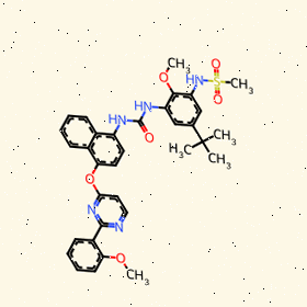 COc1ccccc1-c1nccc(Oc2ccc(NC(=O)Nc3cc(C(C)(C)C)cc(NS(C)(=O)=O)c3OC)c3ccccc23)n1